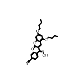 CCCCOc1cc(OCCCC)c2cc(C(=NO)c3ccc(C#N)cc3)c(=O)oc2c1